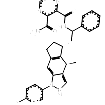 C[C@H]1C2=CNN(c3ccc(F)cc3)C2=CC2=C1[C@@H](CC(NC(=O)c1nccnc1C(N)=O)c1ccccc1)CC2